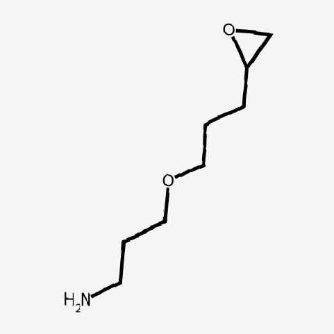 NCCCOCCCC1CO1